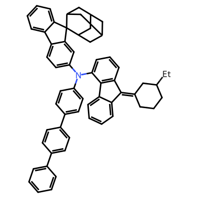 CCC1CCC/C(=C2\c3ccccc3-c3c2cccc3N(c2ccc(-c3ccc(-c4ccccc4)cc3)cc2)c2ccc3c(c2)C2(c4ccccc4-3)C3CC4CC(C3)CC2C4)C1